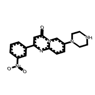 O=c1cc(-c2cccc([N+](=O)[O-])c2)nc2ccc(N3CCNCC3)cn12